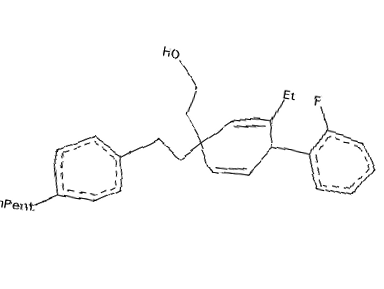 CCCCCc1ccc(CCC2(CCO)C=CC(c3ccccc3F)C(CC)=C2)cc1